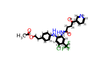 CC(=O)OCCc1ccc(Nc2cc(Cl)c(C(F)(F)F)cc2NC(=O)CCC(=O)c2cccnc2)cc1